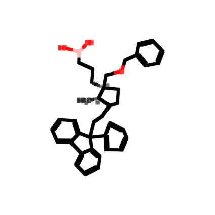 O=C(O)[C@H]1C(CCC2(c3ccccc3)c3ccccc3-c3ccccc32)CC[C@]1(CCCB(O)O)COCc1ccccc1